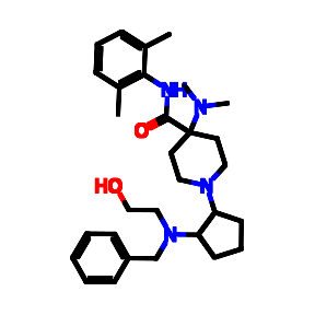 Cc1cccc(C)c1NC(=O)C1(N(C)C)CCN(C2CCCC2N(CCO)Cc2ccccc2)CC1